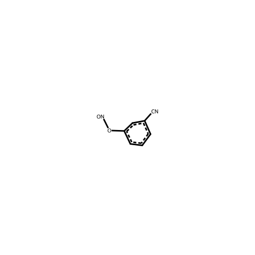 N#Cc1cccc(ON=O)c1